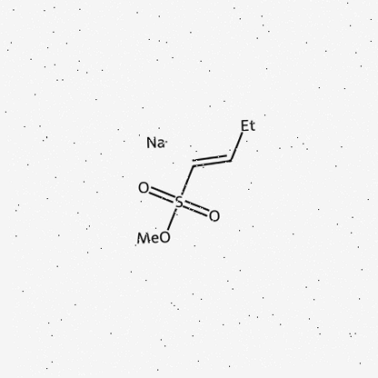 CCC=CS(=O)(=O)OC.[Na]